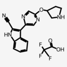 N#Cc1[nH]c2ccccc2c1-c1cnc(OC2CCNC2)cn1.O=C(O)C(F)(F)F